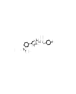 CN(C)c1cccc(-c2cn3nc(NCc4ccc(F)cc4)sc3n2)c1